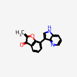 C=C1Oc2c(cccc2-c2c[nH]c3cccnc23)C1=O